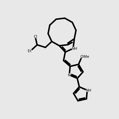 CCC(Cl)CC1CCCCCCc2cc1c(C=C1N=C(c3ccc[nH]3)C=C1OC)[nH]2